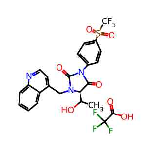 CC(O)[C@@H]1C(=O)N(c2ccc(S(=O)(=O)C(F)(F)F)cc2)C(=O)N1Cc1ccnc2ccccc12.O=C(O)C(F)(F)F